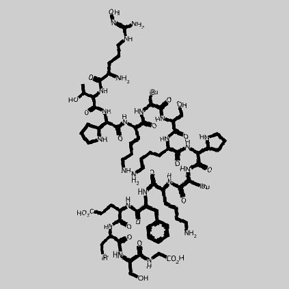 CCC(C)C(NC(=O)C(CCCCN)NC(=O)C(NC(=O)C(NC(=O)C(N)CCCNC(N)=NO)C(C)O)C1CCCN1)C(=O)NC(CO)C(=O)NC(CCCCN)C(=O)NC(C(=O)NC(C(=O)NC(CCCCN)C(=O)NC(Cc1ccccc1)C(=O)NC(CCC(=O)O)C(=O)NC(CC(C)C)C(=O)NC(CO)C(=O)NCC(=O)O)C(C)CC)C1CCCN1